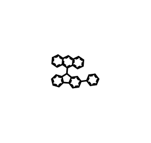 c1ccc(-c2ccc3c(c2)C(c2c4ccccc4cc4ccccc24)c2ccccc2-3)cc1